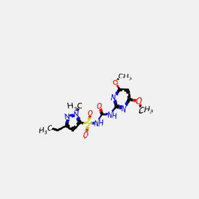 CCc1cc(S(=O)(=O)NC(=O)Nc2nc(OC)cc(OC)n2)n(C)n1